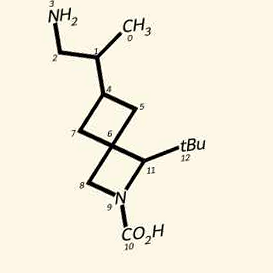 CC(CN)C1CC2(C1)CN(C(=O)O)C2C(C)(C)C